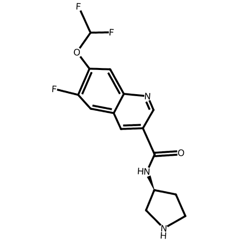 O=C(N[C@H]1CCNC1)c1cnc2cc(OC(F)F)c(F)cc2c1